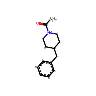 [CH2]C(=O)N1CCC(Cc2ccccc2)CC1